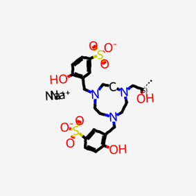 C[C@H](O)CN1CCN(Cc2cc(S(=O)(=O)[O-])ccc2O)CCN(Cc2cc(S(=O)(=O)[O-])ccc2O)CC1.[Na+].[Na+]